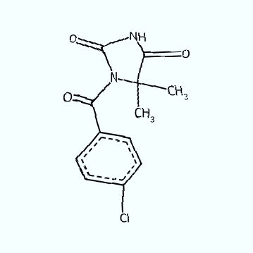 CC1(C)C(=O)NC(=O)N1C(=O)c1ccc(Cl)cc1